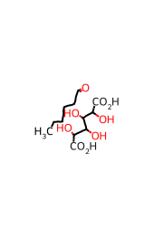 CCCCCC=O.O=C(O)C(O)C(O)C(O)C(O)C(=O)O